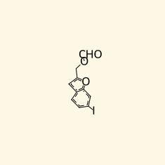 O=[C]OCc1cc2ccc(I)cc2o1